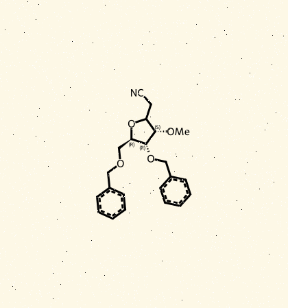 CO[C@H]1C(CC#N)O[C@H](COCc2ccccc2)[C@H]1OCc1ccccc1